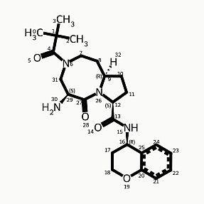 CC(C)(C)C(=O)N1CC[C@H]2CC[C@@H](C(=O)N[C@@H]3CCOc4ccccc43)N2C(=O)[C@@H](N)C1